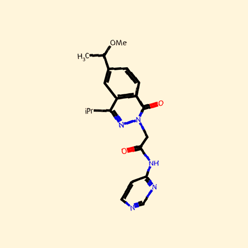 COC(C)c1ccc2c(=O)n(CC(=O)Nc3ccncn3)nc(C(C)C)c2c1